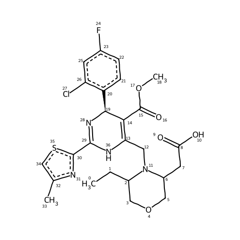 CCC1COCC(CC(=O)O)N1CC1=C(C(=O)OC)[C@H](c2ccc(F)cc2Cl)N=C(c2nc(C)cs2)N1